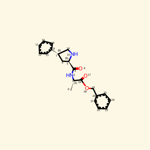 C[C@H](NC(=O)[C@H]1C[C@H](c2ccccc2)CN1)C(=O)OCc1ccccc1